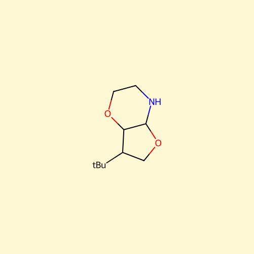 CC(C)(C)C1COC2NCCOC21